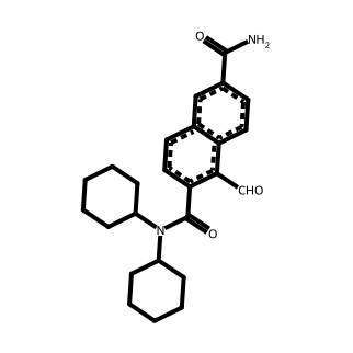 NC(=O)c1ccc2c(C=O)c(C(=O)N(C3CCCCC3)C3CCCCC3)ccc2c1